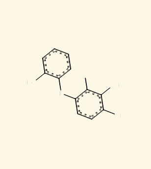 Cc1ccccc1Pc1ccc(C)c(C)c1C